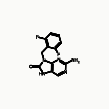 Nc1ncc2[nH]c(=O)n(Cc3c(F)cccc3F)c2n1